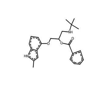 Cc1cc2c(OCC(CNC(C)(C)C)OC(=O)c3ccccc3)cccc2[nH]1